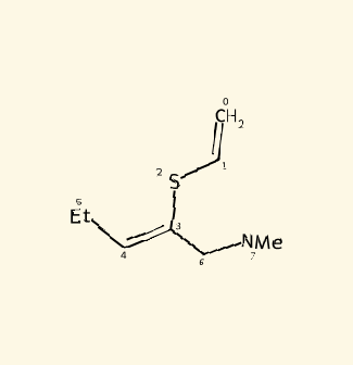 C=CS/C(=C\CC)CNC